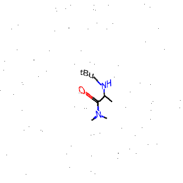 CC(NC(C)(C)C)C(=O)N(C)C